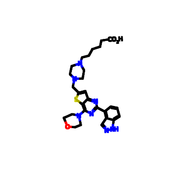 O=C(O)CCCCCN1CCN(Cc2cc3nc(-c4cccc5[nH]ncc45)nc(N4CCOCC4)c3s2)CC1